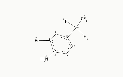 CCc1cc(C(F)(F)C(F)(F)F)ccc1N